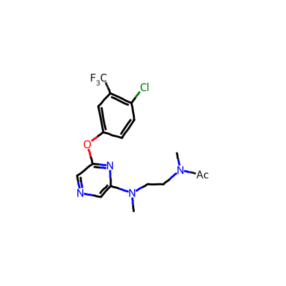 CC(=O)N(C)CCN(C)c1cncc(Oc2ccc(Cl)c(C(F)(F)F)c2)n1